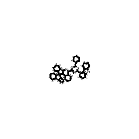 c1ccc(-c2nc(-c3nc4c(c5ccccc35)C3(c5ccccc5-c5ccccc53)c3ccccc3-4)nc(-c3cccc4oc5ccccc5c34)n2)cc1